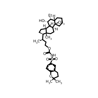 CC[C@H]1[C@@H](O)[C@@H]2[C@H](CC[C@]3(C)[C@@H]([C@H](C)CCOC(=O)NS(=O)(=O)c4ccc5c(c4)CCC(C)(C)O5)CC[C@@H]23)[C@@]2(C)CCCC[C@@H]12